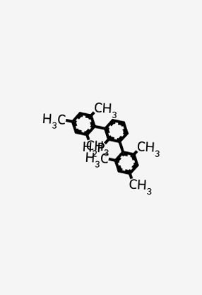 Cc1cc(C)c(-c2cccc(-c3c(C)cc(C)cc3C)c2P)c(C)c1